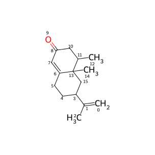 C=C(C)C1CCC2=CC(=O)CC(C)C2(C)C1